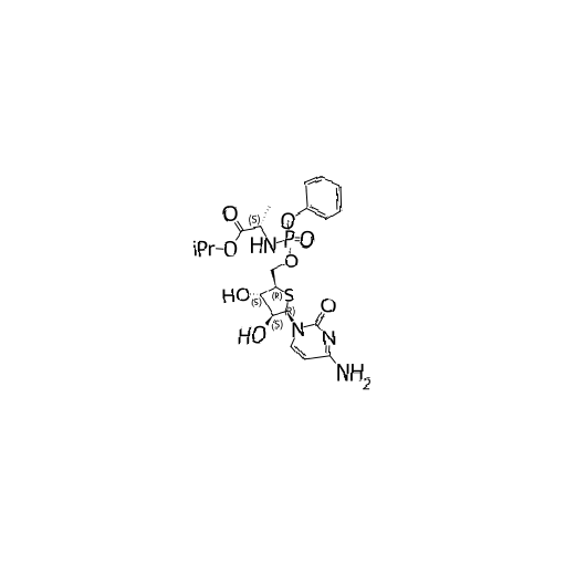 CC(C)OC(=O)[C@H](C)NP(=O)(OC[C@H]1S[C@@H](n2ccc(N)nc2=O)[C@@H](O)[C@@H]1O)Oc1ccccc1